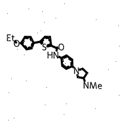 CCOc1ccc(-c2ccc(C(=O)Nc3ccc(N4CCC(NC)C4)cc3)s2)cc1